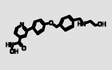 O=C(NO)c1ccnc(-c2ccc(OCc3ccc(CNCCO)cc3)cc2)c1